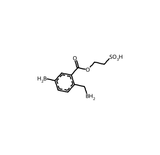 BCc1ccc(B)cc1C(=O)OCCS(=O)(=O)O